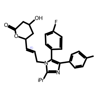 Cc1ccc(-c2nc(C(C)C)n(C/C=C/C3CC(O)CC(=O)O3)c2-c2ccc(F)cc2)cc1